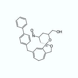 O=NC1CC(CO)O[C@@]2(C1)OCC1=CCC=C(Cc3ccc(-c4ccccc4)cc3)C=C12